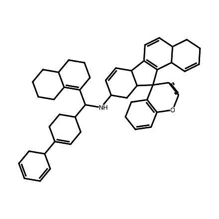 C1=CCC(C2=CCC(C(NC3C=CC4C5=C(C6C=CCCC6C=C5)C5(C6=C(C=CCC6)OC6C=CC=CC65)C4C3)C3=C4CCCCC4CCC3)CC2)C=C1